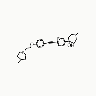 CC1CCN(CCOc2ccc(C#Cc3ccc(C4(O)CCC(C)CC4)cn3)cc2)CC1